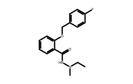 CCN(C)NC(=O)c1ccccc1OCc1ccc(F)cc1